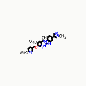 COc1ccc(COc2ccc(C(C)n3c(N)nc4cc(-c5cnn(C)c5)ccc43)cc2OC)cn1